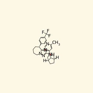 Cc1cc(N2C[C@H]3CC[C@@H](C2)C3Nc2nc3n(n2)CCCC[C@H]3c2ccc(C(F)(F)F)cc2)ncn1